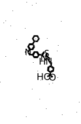 CN(Cc1ccc(-c2csc(CNCc3ccc(C(=O)O)cc3)n2)cc1)c1ccc(C2CCCCC2)cc1